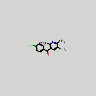 Cc1cc(C(=O)c2ccc(Cl)cc2)c(C(=O)O)nc1C